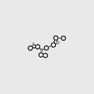 c1ccc(-c2cccc3c2oc2ccc(-c4ccc(N(c5ccc6sc7ccccc7c6c5)c5cccc6ccccc56)cc4)cc23)cc1